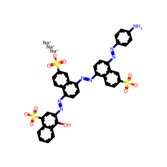 Nc1ccc(N=Nc2ccc(N=Nc3ccc(N=Nc4cc(S(=O)(=O)[O-])c5ccccc5c4O)c4ccc(S(=O)(=O)[O-])cc34)c3ccc(S(=O)(=O)[O-])cc23)cc1.[Na+].[Na+].[Na+]